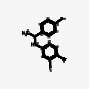 CC(Nc1cc(F)c(Br)cn1)c1ccc(F)cc1